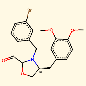 COc1ccc(C[C@H]2COC(C=O)N2Cc2cccc(Br)c2)cc1OC